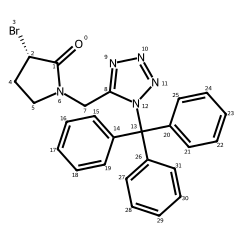 O=C1[C@@H](Br)CCN1Cc1nnnn1C(c1ccccc1)(c1ccccc1)c1ccccc1